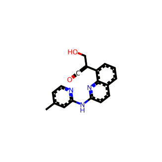 Cc1ccnc(Nc2ccc3cccc(C(=C=O)CO)c3n2)c1